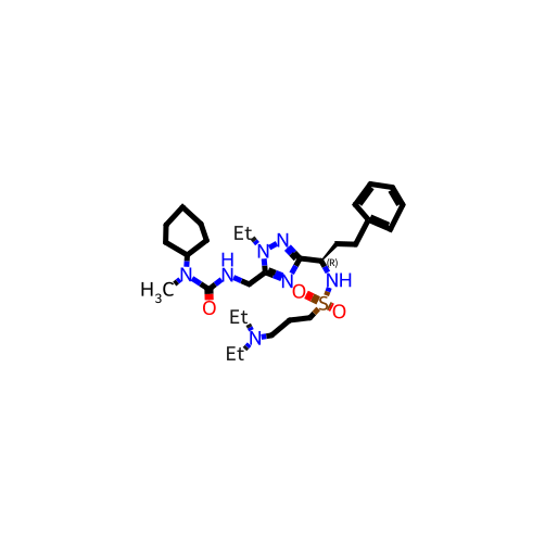 CCN(CC)CCCS(=O)(=O)N[C@H](CCc1ccccc1)c1nc(CNC(=O)N(C)C2CCCCC2)n(CC)n1